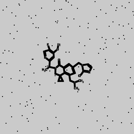 CCOc1cc([C@H](C)N2CC3(CC3)c3c(CN(C)C)cc(Cn4ccnc4Cl)cc3C2=O)ncc1F